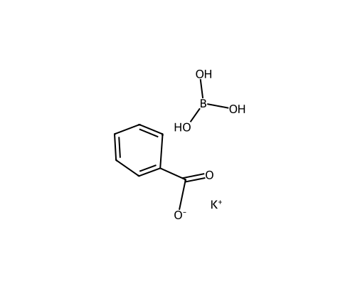 O=C([O-])c1ccccc1.OB(O)O.[K+]